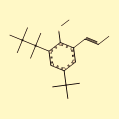 CC=Cc1cc(C(C)(C)C)cc(C(C)(C)C(C)(C)C)c1OC